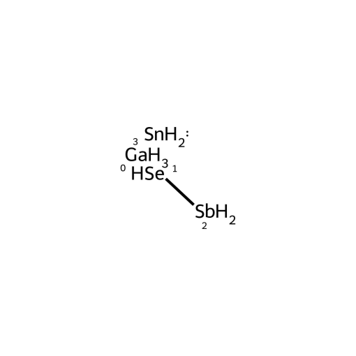 [GaH3].[SeH][SbH2].[SnH2]